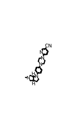 CN1C[C@H]2CCN(c3ccc(N4CCN(c5ccc(C#N)cn5)CC4)cc3)[C@H]2C1